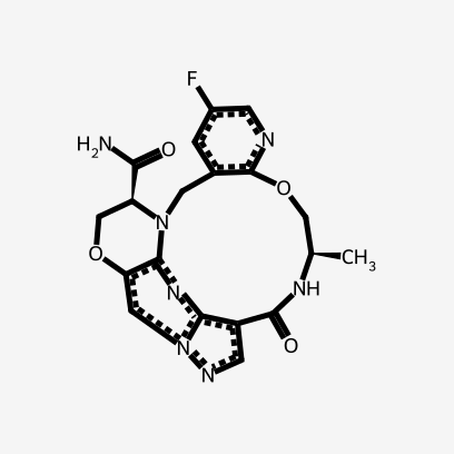 C[C@@H]1COc2ncc(F)cc2CN2c3nc4c(cnn4cc3OC[C@H]2C(N)=O)C(=O)N1